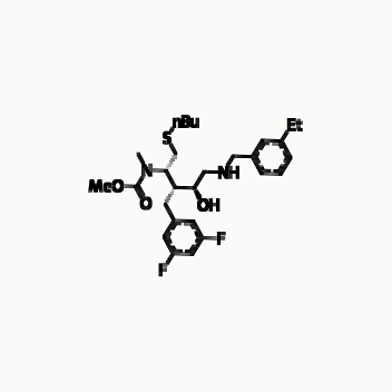 CCCCSC[C@H]([C@@H](Cc1cc(F)cc(F)c1)[C@H](O)CNCc1cccc(CC)c1)N(C)C(=O)OC